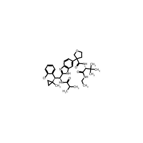 CCNC(=O)[C@H](NC(=O)C1(c2ccc3nc([C@@H](NC(=O)C(C)C)[C@H](c4ccccc4Cl)C4(C)CC4)[nH]c3c2)CCOC1)C(C)(C)C